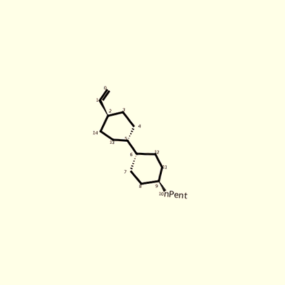 C=C[C@H]1CC[C@H]([C@H]2CC[C@H](CCCCC)CC2)CC1